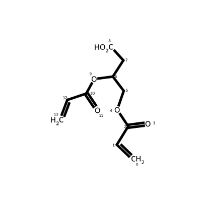 C=CC(=O)OCC(CC(=O)O)OC(=O)C=C